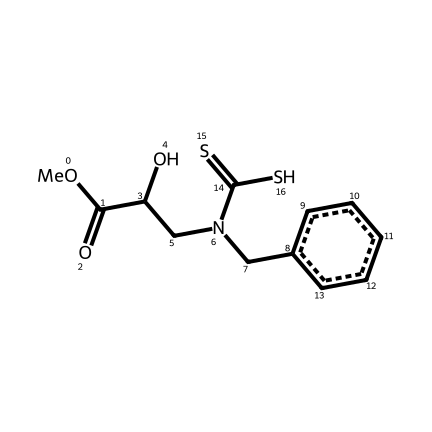 COC(=O)C(O)CN(Cc1ccccc1)C(=S)S